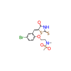 CN(CCOc1ccc(Br)cc1C=C1SC(=S)NC1=O)S(C)(=O)=O